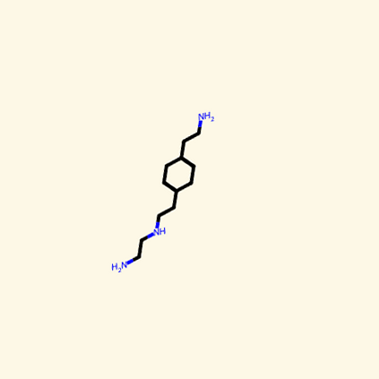 NCCNCCC1CCC(CCN)CC1